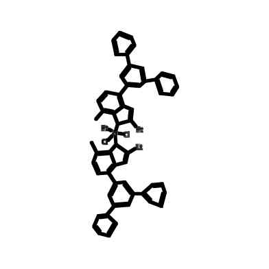 CCC1=Cc2c(-c3cc(-c4ccccc4)cc(-c4ccccc4)c3)ccc(C)c2[CH]1[Zr]([Cl])([Cl])([CH2]C)[CH]1C(CC)=Cc2c(-c3cc(-c4ccccc4)cc(-c4ccccc4)c3)ccc(C)c21